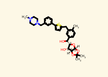 Cc1ccc(C(O)[C@@H]2O[C@H]3OC(C)(C)O[C@H]3[C@@H]2O)cc1Cc1ccc(-c2cccc(CN3CCN(C)CC3)c2)s1